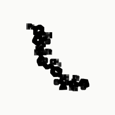 CCn1c(SC2(C(=O)Nc3ccc([C@@H](C)Cc4ccc(-c5nnc(SC6(C(=O)Nc7ccc(C(C)C)cc7)CCCC6)n5CC)o4)cc3)CC2)nnc1-c1ccco1